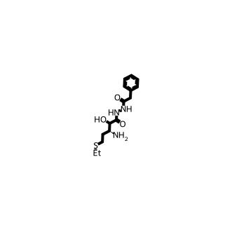 CCSCC[C@@H](N)C(O)C(=O)NNC(=O)Cc1ccccc1